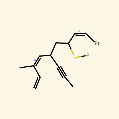 C=C/C(C)=C\C(C#CC)CC(/C=C\CC)SCC